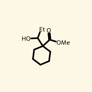 CCC(O)C1(C(=O)OC)CCCCC1